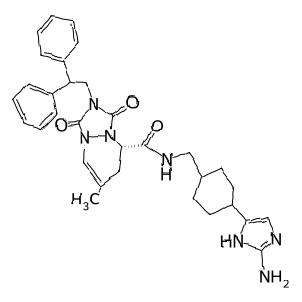 CC1=Cn2c(=O)n(CC(c3ccccc3)c3ccccc3)c(=O)n2[C@H](C(=O)NCC2CCC(c3cnc(N)[nH]3)CC2)C1